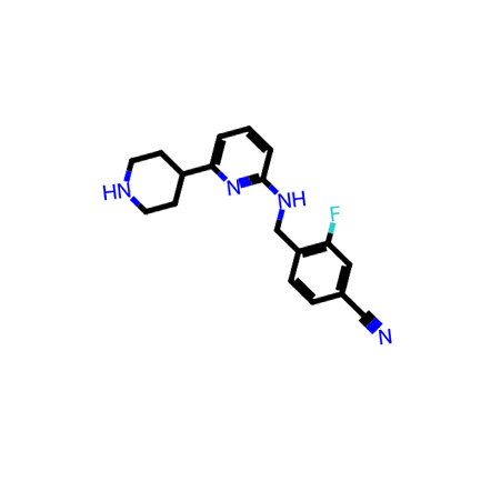 N#Cc1ccc(CNc2cccc(C3CCNCC3)n2)c(F)c1